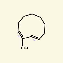 CCCCC1=C/CCCCCC\C=C\1